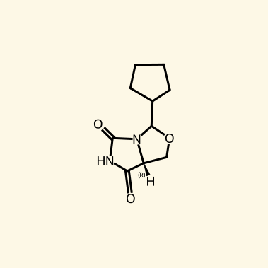 O=C1NC(=O)N2C(C3CCCC3)OC[C@H]12